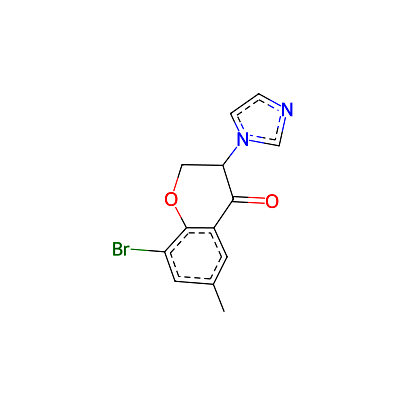 Cc1cc(Br)c2c(c1)C(=O)C(n1ccnc1)CO2